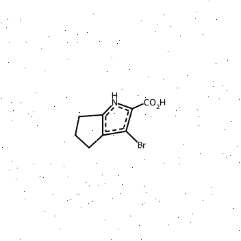 O=C(O)c1[nH]c2c(c1Br)CCC2